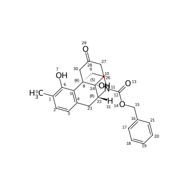 Cc1ccc2c(c1O)[C@]13CCN(C(=O)OCc4ccccc4)[C@H](C2)[C@]1(O)CCC(=O)C3